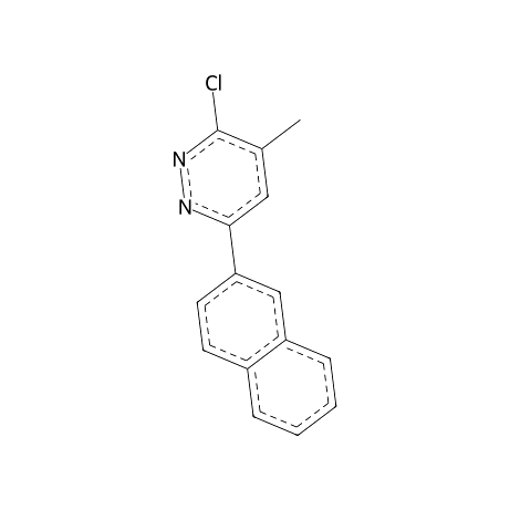 Cc1cc(-c2ccc3ccccc3c2)nnc1Cl